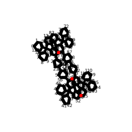 c1ccc(C2(c3ccccc3)c3ccccc3-c3ccc(-c4ccc5c(c4)[Si]4(c6cc(-c7ccc8c(c7)C(c7ccccc7)(c7ccccc7)c7ccccc7-8)ccc6-5)c5cc(-c6ccc7c(c6)C(c6ccccc6)(c6ccccc6)c6ccccc6-7)ccc5-c5ccc(-c6ccc7c(c6)C(c6ccccc6)(c6ccccc6)c6ccccc6-7)cc54)cc32)cc1